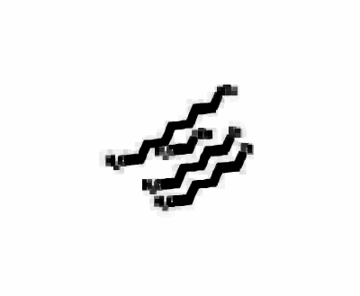 C=CCCC=CCC.C=CCCC=CCC.C=CCCCC.C=CCCCCC=CCCCC